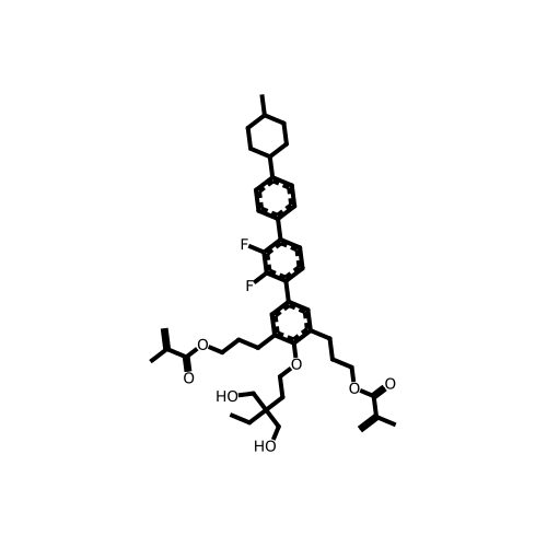 C=C(C)C(=O)OCCCc1cc(-c2ccc(-c3ccc(C4CCC(C)CC4)cc3)c(F)c2F)cc(CCCOC(=O)C(=C)C)c1OCCC(CC)(CO)CO